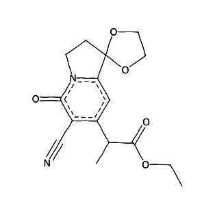 CCOC(=O)C(C)c1cc2n(c(=O)c1C#N)CCC21OCCO1